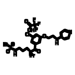 CCS(=O)(=O)NCCCN(C(=O)c1cc(Cl)cc(OCCNc2ccncc2)c1)C(C)C.O=C(O)C(F)(F)F